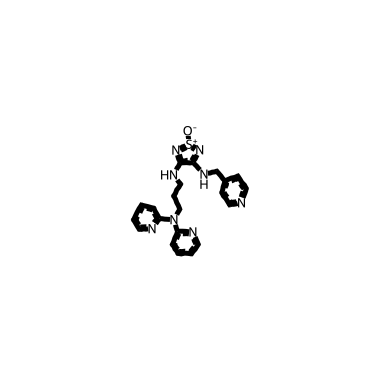 [O-][s+]1nc(NCCCN(c2ccccn2)c2ccccn2)c(NCc2ccncc2)n1